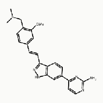 COc1cc(C=Cc2n[nH]c3cc(-c4ccnc(N)n4)ccc23)ccc1CN(C)C